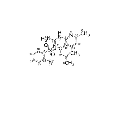 C=CCO[N+](=C(N)Nc1nc(C)cc(C)n1)S(=O)(=O)c1ccccc1Br